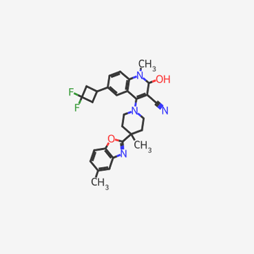 Cc1ccc2oc(C3(C)CCN(C4=C(C#N)C(O)N(C)c5ccc(C6CC(F)(F)C6)cc54)CC3)nc2c1